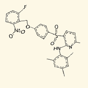 Cc1cc(C)c(Nc2nc(C)ccc2S(=O)(=O)c2ccc(OCc3c(F)cccc3[N+](=O)[O-])cc2)c(C)c1